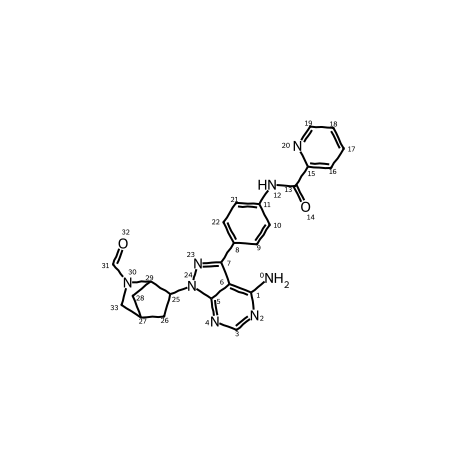 Nc1ncnc2c1c(-c1ccc(NC(=O)c3ccccn3)cc1)nn2C1CC2CC1N(C=O)C2